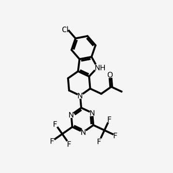 CC(=O)CC1c2[nH]c3ccc(Cl)cc3c2CCN1c1nc(C(F)(F)F)nc(C(F)(F)F)n1